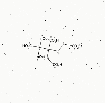 CCCCCCCCC(CCCCCCCC)(C(=O)O)C(CC(=O)O)(OCC(=O)OCC)C(=O)O